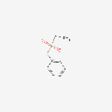 C[CH]S(=O)(=O)Cc1ccccc1